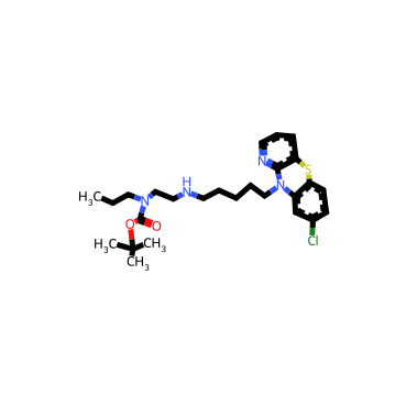 CCCN(CCNCCCCCN1c2cc(Cl)ccc2Sc2cccnc21)C(=O)OC(C)(C)C